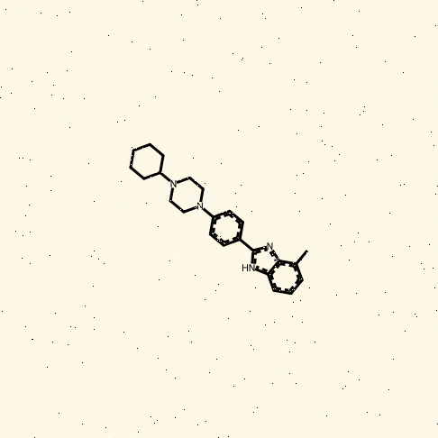 Cc1cccc2[nH]c(-c3ccc(N4CCN(C5CCCCC5)CC4)cc3)nc12